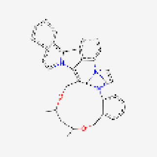 CC1CC(C)OCc2ccccc2[N+]23C=C[N+](C)(C2)C3/C(=C2\c3ccccc3-c3c4ccccc4cc[n+]32)CO1